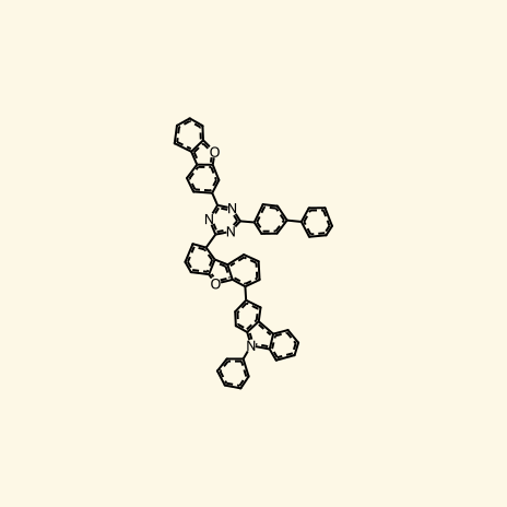 c1ccc(-c2ccc(-c3nc(-c4ccc5c(c4)oc4ccccc45)nc(-c4cccc5oc6c(-c7ccc8c(c7)c7ccccc7n8-c7ccccc7)cccc6c45)n3)cc2)cc1